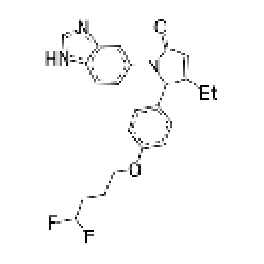 CCC1=CC(=O)N(c2ccc3[nH]cnc3c2)C1c1ccc(OCCCC(F)F)cc1